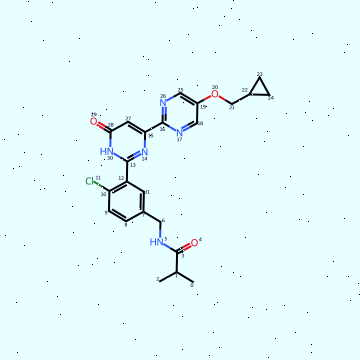 CC(C)C(=O)NCc1ccc(Cl)c(-c2nc(-c3ncc(OCC4CC4)cn3)cc(=O)[nH]2)c1